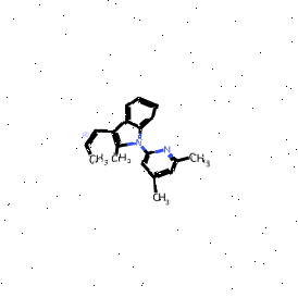 C/C=C\c1c(C)n(-c2cc(C)cc(C)n2)c2ccccc12